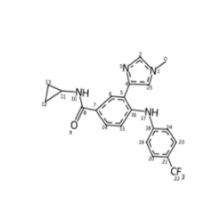 Cn1cnc(-c2cc(C(=O)NC3CC3)ccc2Nc2ccc(C(F)(F)F)cc2)c1